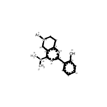 CC(=O)N1CCc2nc(-c3ccccc3O)nc(N(C)C)c2C1